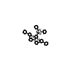 c1ccc(-c2ccc3c(c2)c2cccc4c2n3-c2cc(-c3nc(-c5ccccc5)nc(-c5ccccc5)n3)cc3c2B4c2cccc4c5cc(-c6ccccc6)ccc5n-3c24)cc1